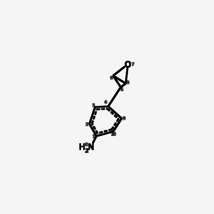 Nc1ccc(C2C3OC32)cc1